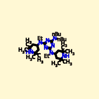 CCCCN(CCCC)c1nc(N(CC)C2CC(C)(C)NC(C)(C)C2)nc(N(CC)C2CC(C)(C)NC(C)(C)C2)n1